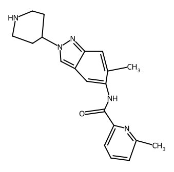 Cc1cccc(C(=O)Nc2cc3cn(C4CCNCC4)nc3cc2C)n1